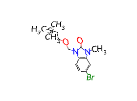 Cn1c(=O)n(COCC[Si](C)(C)C)c2ccc(Br)cc21